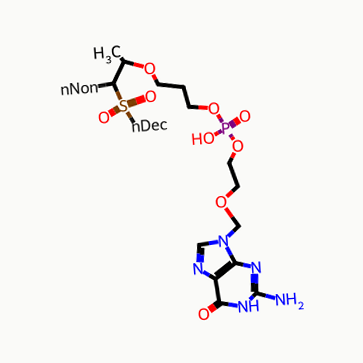 CCCCCCCCCCS(=O)(=O)C(CCCCCCCCC)C(C)OCCCOP(=O)(O)OCCOCn1cnc2c(=O)[nH]c(N)nc21